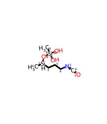 C[SiH](CCCN=C=O)O[Si](C)(O)O